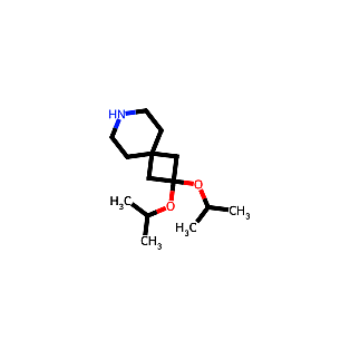 CC(C)OC1(OC(C)C)CC2(CCNCC2)C1